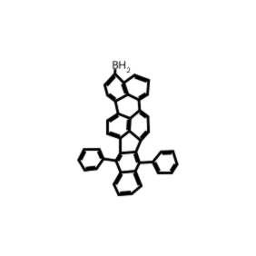 Bc1ccc2c3ccc4c5c(ccc(c6cccc1c62)c53)-c1c-4c(-c2ccccc2)c2ccccc2c1-c1ccccc1